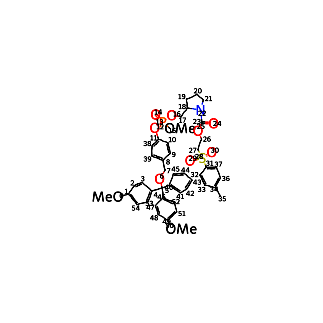 COc1ccc(C(OCc2ccc(OP(=O)(OC)OCC3CCCN3C(=O)OCCS(=O)(=O)c3ccc(C)cc3)cc2)(c2ccccc2)c2ccc(OC)cc2)cc1